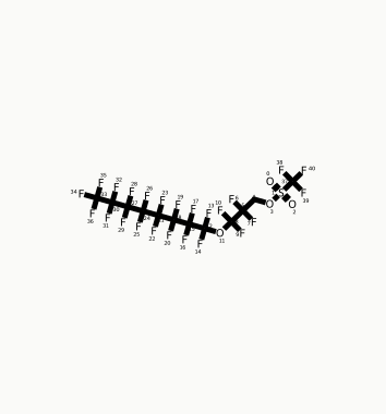 O=S(=O)(OCC(F)(F)C(F)(F)OC(F)(F)C(F)(F)C(F)(F)C(F)(F)C(F)(F)C(F)(F)C(F)(F)C(F)(F)F)C(F)(F)F